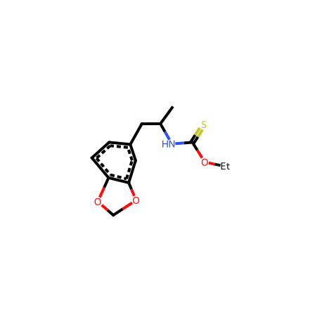 CCOC(=S)NC(C)Cc1ccc2c(c1)OCO2